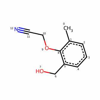 Cc1cccc(CO)c1OCC#N